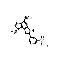 CNc1nc2[nH]c(-c3cccc([S+](C)[O-])c3)cc2c2c1ncn2C